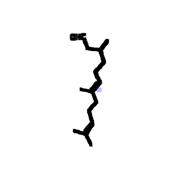 CC(C)=CCC/C(C)=C/CCC(C)CC=O